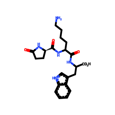 NCCCCC(NC(=O)[C@@H]1CCC(=O)N1)C(=O)NC(Cc1c[nH]c2ccccc12)C(=O)O